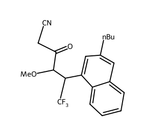 CCCCc1cc(C(C(OC)C(=O)CC#N)C(F)(F)F)c2ccccc2c1